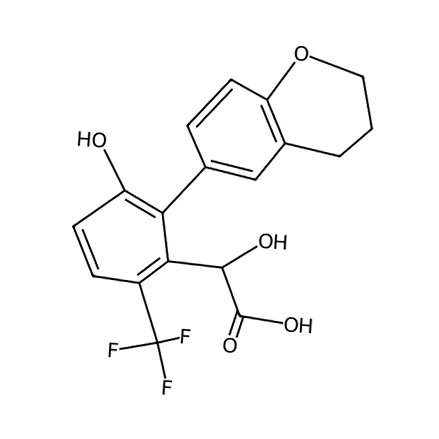 O=C(O)C(O)c1c(C(F)(F)F)ccc(O)c1-c1ccc2c(c1)CCCO2